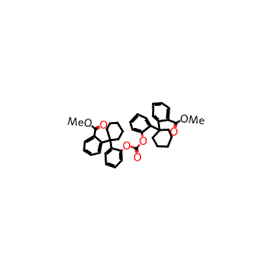 COC(=O)c1ccccc1C1(c2ccccc2OC(=O)Oc2ccccc2C2(c3ccccc3C(=O)OC)CCCCC2)CCCCC1